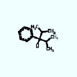 [Li][C](c1ccccc1)(C(C)C)C(C)C